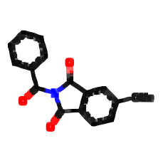 COc1ccc2c(c1)C(=O)N(C(=O)c1ccccc1)C2=O